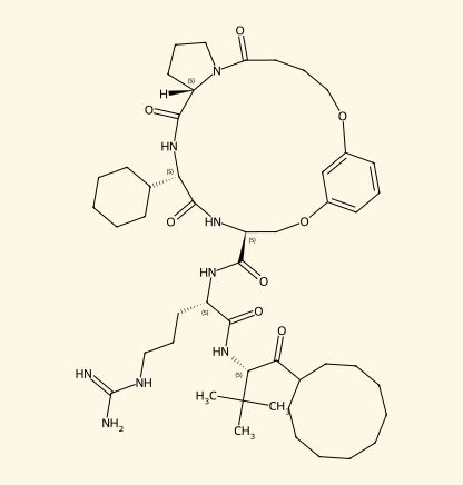 CC(C)(C)[C@H](NC(=O)[C@H](CCCNC(=N)N)NC(=O)[C@@H]1COc2cccc(c2)OCCCC(=O)N2CCC[C@H]2C(=O)N[C@@H](C2CCCCC2)C(=O)N1)C(=O)C1CCCCCCCCC1